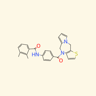 Cc1cccc(C(=O)Nc2ccc(C(=O)N3Cc4cccn4Cc4sccc43)cc2)c1C